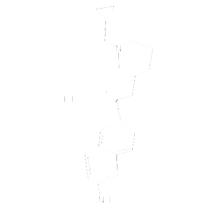 Cl.Nc1ccc2cc(C(=O)CC3CCCN(CC4CC4)C3)ccc2c1